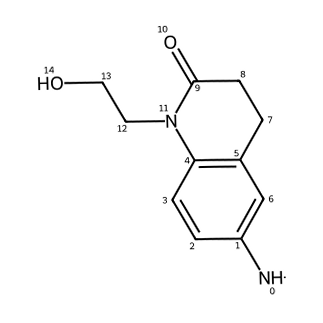 [NH]c1ccc2c(c1)CCC(=O)N2CCO